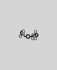 O=C(ON1C(=O)CCC1=O)C1CCC(CN2COC=CC2=O)CC1